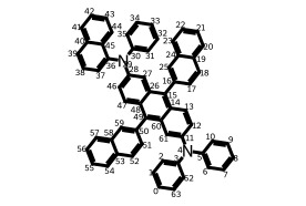 c1ccc(N(c2ccccc2)c2ccc3c(-c4ccc5ccccc5c4)c4cc(N(c5ccccc5)c5cccc6ccccc56)ccc4c(-c4ccc5ccccc5c4)c3c2)cc1